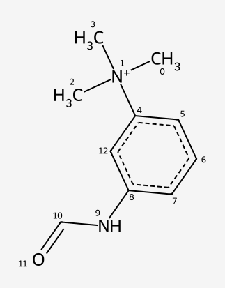 C[N+](C)(C)c1cccc(NC=O)c1